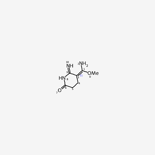 CO/C(N)=C1\CCC(=O)NC1=N